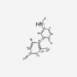 CNc1ccc(C)c(-c2ccc(F)cc2C)c1